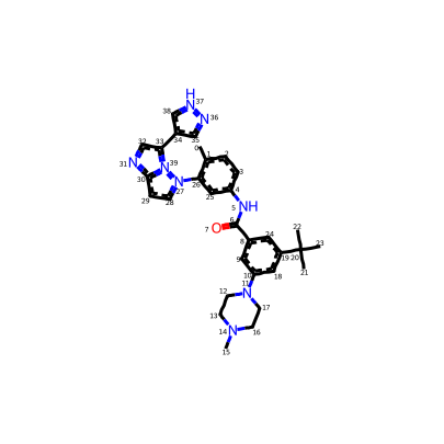 Cc1ccc(NC(=O)c2cc(N3CCN(C)CC3)cc(C(C)(C)C)c2)cc1-n1ccc2ncc(-c3cn[nH]c3)n21